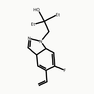 C=CC1=CC2C=NN(CC(O)(CC)CC)C2C=C1F